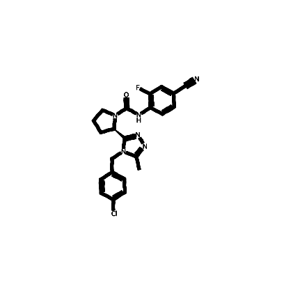 Cc1nnc([C@H]2CCCN2C(=O)Nc2ccc(C#N)cc2F)n1Cc1ccc(Cl)cc1